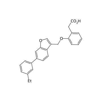 CCc1cccc(-c2ccc3c(COc4ccccc4CC(=O)O)coc3c2)c1